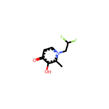 Cc1c(O)c(=O)ccn1CC(F)F